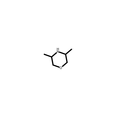 [CH2]C1COCC(C)N1